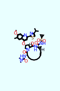 COc1cc2nc(-c3nc(C(C)C)cs3)cc(O[C@@H]3C[C@H]4C(=O)N[C@]5(C(=O)NS(=O)(=O)C6CC6)C[C@H]5C=CCCCCC[C@H](NC(=O)N(C)C)C(=O)N4C3)c2cc1C